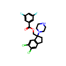 O=C(OCC1(N2CCNCC2)CCc2cc(Cl)c(Cl)cc21)c1cc(F)cc(F)c1